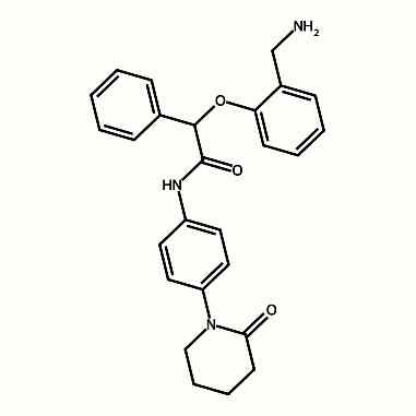 NCc1ccccc1OC(C(=O)Nc1ccc(N2CCCCC2=O)cc1)c1ccccc1